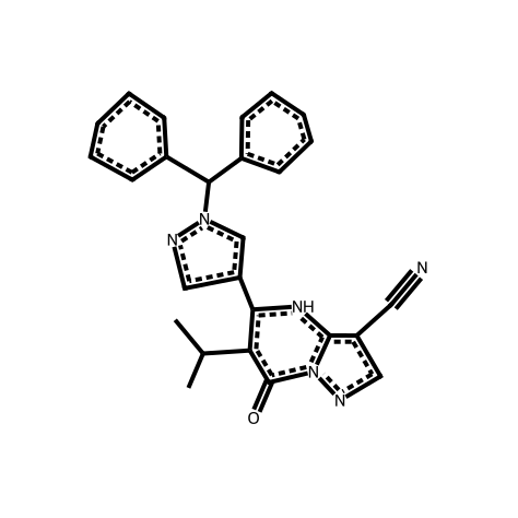 CC(C)c1c(-c2cnn(C(c3ccccc3)c3ccccc3)c2)[nH]c2c(C#N)cnn2c1=O